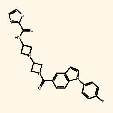 O=C(NC1CN(C2CN(C(=O)c3ccc4c(ccn4-c4ccc(F)cc4)c3)C2)C1)c1nccs1